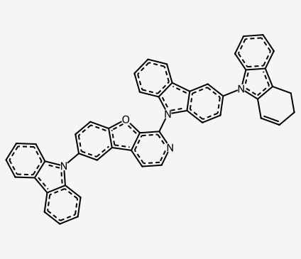 C1=Cc2c(c3ccccc3n2-c2ccc3c(c2)c2ccccc2n3-c2nccc3c2oc2ccc(-n4c5ccccc5c5ccccc54)cc23)CC1